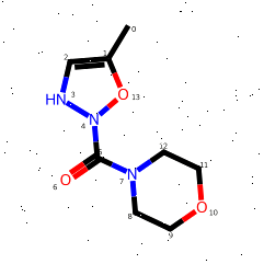 CC1=CNN(C(=O)N2CCOCC2)O1